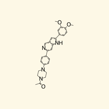 COc1ccc(-c2cc3cnc(-c4ccc(N5CCN(C(C)=O)CC5)cc4)cc3[nH]2)cc1OC